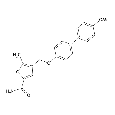 COc1ccc(-c2ccc(OCc3cc(C(N)=O)oc3C)cc2)cc1